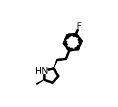 C[C@@H]1CC[C@H](CCc2ccc(F)cc2)N1